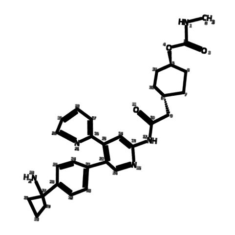 CNC(=O)O[C@H]1CC[C@H](CC(=O)Nc2cc(-c3ccccn3)c(-c3ccc(C4(N)CCC4)cc3)cn2)CC1